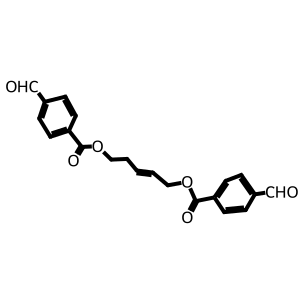 O=Cc1ccc(C(=O)OC/C=C/CCOC(=O)c2ccc(C=O)cc2)cc1